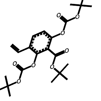 C=Cc1ccc(OC(=O)OC(C)(C)C)c(C(=O)OC(C)(C)C)c1OC(=O)OC(C)(C)C